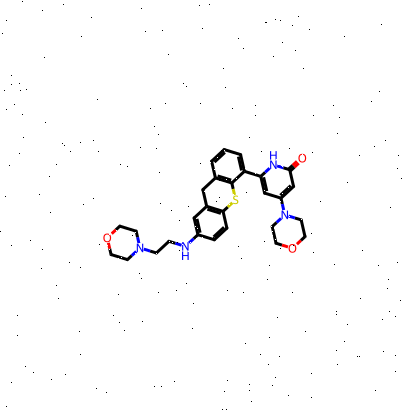 O=c1cc(N2CCOCC2)cc(-c2cccc3c2Sc2ccc(NCCN4CCOCC4)cc2C3)[nH]1